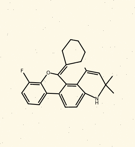 CC1=CC(C)(C)Nc2ccc3c(c21)C(=C1CCCCC1)Oc1c(F)cccc1-3